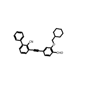 N#Cc1c(C#Cc2ccc(C=O)c(OCC3CCCCC3)c2)cccc1-c1ccccc1